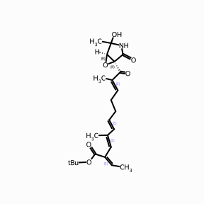 C\C=C(/C=C(C)/C=C/CC/C=C(\C)C(=O)[C@]12O[C@H]1C(C)(O)NC2=O)C(=O)OC(C)(C)C